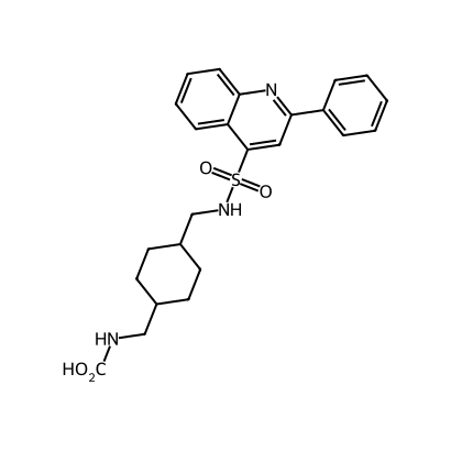 O=C(O)NCC1CCC(CNS(=O)(=O)c2cc(-c3ccccc3)nc3ccccc23)CC1